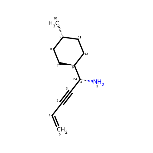 C=CC#C[C@@H](N)[C@H]1CC[C@H](C)CC1